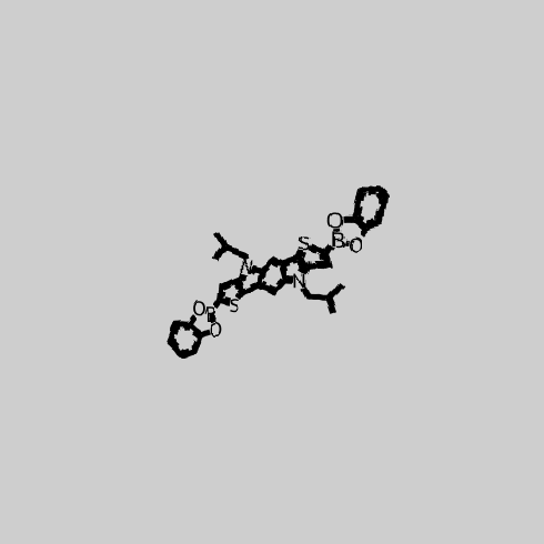 CC(C)Cn1c2cc3c4sc(B5Oc6ccccc6O5)cc4n(CC(C)C)c3cc2c2sc(B3Oc4ccccc4O3)cc21